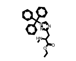 CCOC(=O)C(Cc1ncn(C(c2ccccc2)(c2ccccc2)c2ccccc2)n1)NC